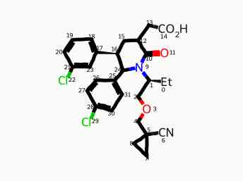 CC[C@@H](COCC1(C#N)CC1)N1C(=O)C(CC(=O)O)C[C@H](c2cccc(Cl)c2)C1c1ccc(Cl)cc1